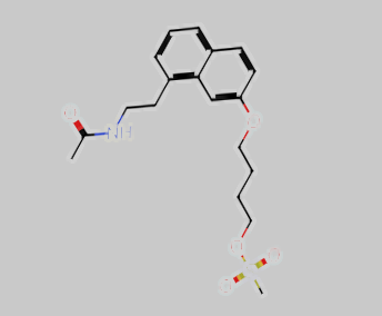 CC(=O)NCCc1cccc2ccc(OCCCCOS(C)(=O)=O)cc12